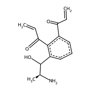 C=CC(=O)c1cccc(C(O)[C@H](C)N)c1C(=O)C=C